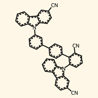 N#Cc1ccc2c(c1)c1ccccc1n2-c1cccc(-c2ccc(-c3c(C#N)cccc3-n3c4ccccc4c4ccc(C#N)cc43)cc2)c1